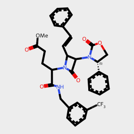 COC(=O)CCC(C(=O)NCc1cccc(C(F)(F)F)c1)N1C(=O)C(N2C(=O)OC[C@@H]2c2ccccc2)C1C=Cc1ccccc1